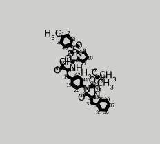 Cc1ccc(S(=O)(=O)N2CCC[C@H]2C(=O)N[C@@H](Cc2ccc(N(C(=O)OC(C)(C)C)C(=O)C3Cc4ccccc4N3)cc2)C(=O)O)cc1